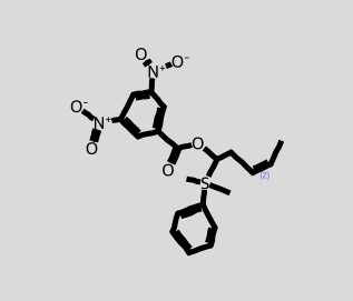 C/C=C\CC(OC(=O)c1cc([N+](=O)[O-])cc([N+](=O)[O-])c1)S(C)(C)c1ccccc1